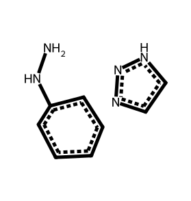 NNc1ccccc1.c1c[nH]nn1